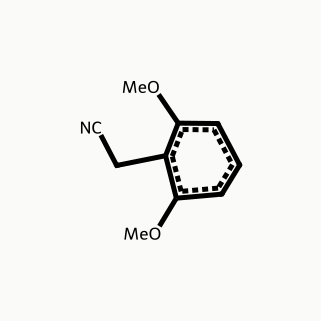 COc1cccc(OC)c1CC#N